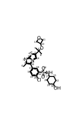 Cc1nc2sc(C(C)(C)OC3COC3)cn2c1-c1ccc(Cl)c(S(=O)(=O)NC2CCC(O)CC2)c1